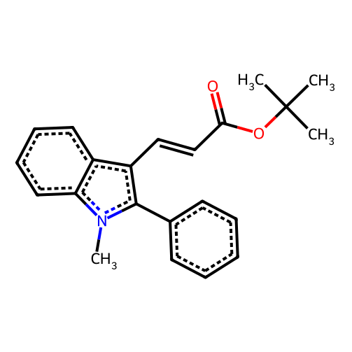 Cn1c(-c2ccccc2)c(/C=C/C(=O)OC(C)(C)C)c2ccccc21